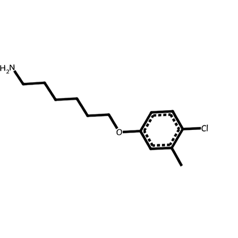 Cc1cc(OCCCCCCN)ccc1Cl